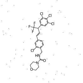 O=C(NCc1ccc(/C=C/C(c2cc(Cl)c(Cl)c(Cl)c2)C(F)(F)F)cc1Cl)N1CCOCC1